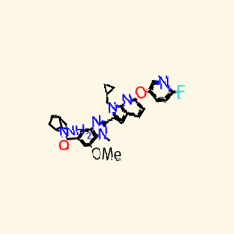 COc1cc(C(=O)N2CC3CCC2C3N)cc2nc(-c3cc4ccc(Oc5ccc(F)nc5)nc4n3CC3CC3)n(C)c12